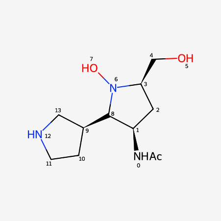 CC(=O)N[C@@H]1C[C@H](CO)N(O)C1[C@H]1CCNC1